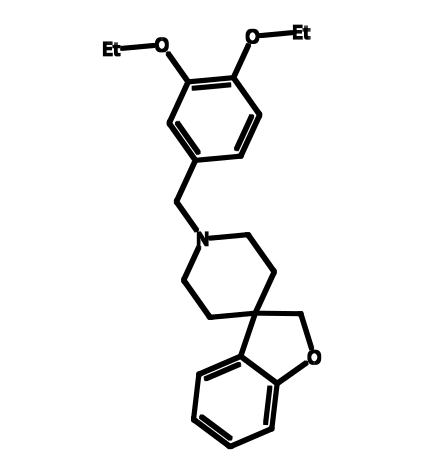 CCOc1ccc(CN2CCC3(CC2)COc2ccccc23)cc1OCC